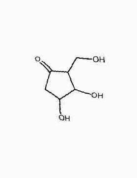 O=C1CC(O)C(O)C1CO